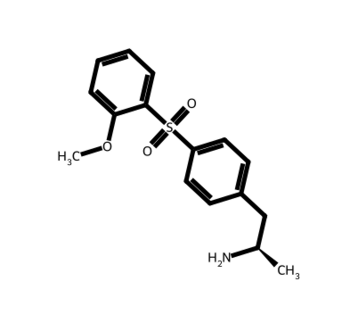 COc1ccccc1S(=O)(=O)c1ccc(C[C@@H](C)N)cc1